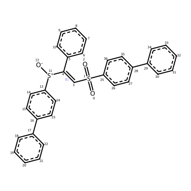 O=S(=O)(/C=C(\c1ccccc1)[S+]([O-])c1ccc(-c2ccccc2)cc1)c1ccc(-c2ccccc2)cc1